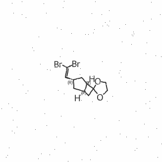 BrC(Br)=C[C@@H]1C[C@@H]2CC3(OCCO3)[C@@H]2C1